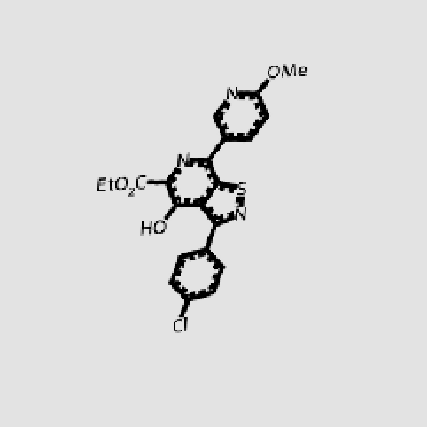 CCOC(=O)c1nc(-c2ccc(OC)nc2)c2snc(-c3ccc(Cl)cc3)c2c1O